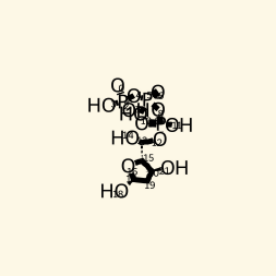 O=P(O)(O)OP(=O)(O)OP(=O)(O)OC(O)[C@H]1O[C@H](O)C[C@@H]1O